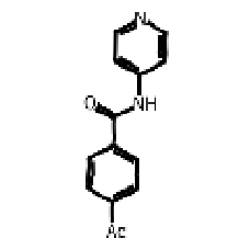 CC(=O)c1ccc(C(=O)Nc2ccncc2)cc1